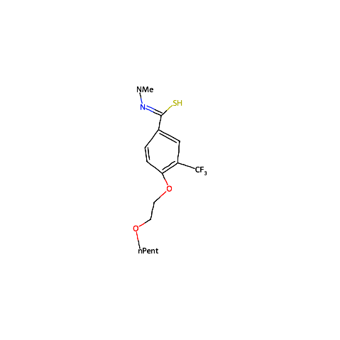 CCCCCOCCOc1ccc(/C(S)=N/NC)cc1C(F)(F)F